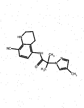 Cc1cnn(C(C)(C)C(=O)Nc2ccc(C#N)c3c2CCCN3)c1